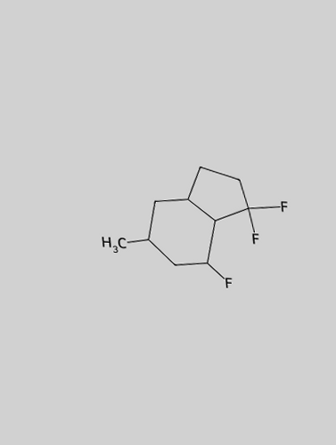 CC1CC(F)C2C(CCC2(F)F)C1